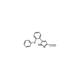 O=Cc1cc(-c2ccccc2Sc2ccccc2)[nH]n1